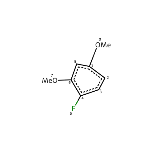 COc1c[c]c(F)c(OC)c1